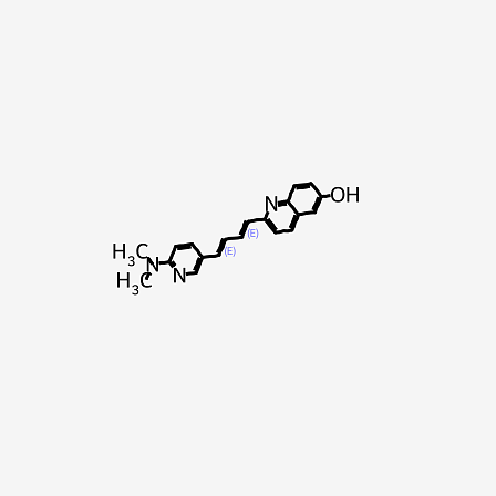 CN(C)c1ccc(/C=C/C=C/c2ccc3cc(O)ccc3n2)cn1